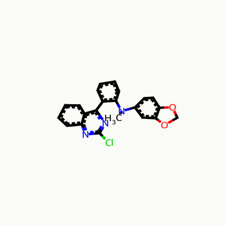 CN(c1ccc2c(c1)OCO2)c1ccccc1-c1nc(Cl)nc2ccccc12